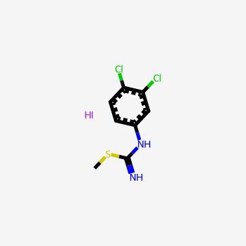 CSC(=N)Nc1ccc(Cl)c(Cl)c1.I